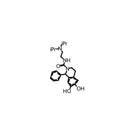 CC(C)N(CCNC(=O)N1CCc2cc(O)c(O)cc2C1c1ccccc1)C(C)C